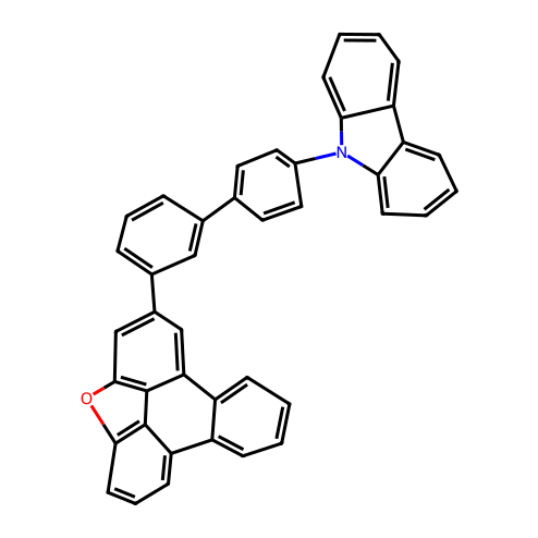 c1cc(-c2ccc(-n3c4ccccc4c4ccccc43)cc2)cc(-c2cc3oc4cccc5c6ccccc6c(c2)c3c45)c1